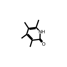 Cc1[nH]c(=O)c(C)c(C)c1C